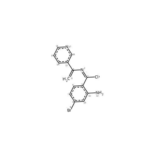 C=C(/N=C(/Cl)c1ccc(Br)cc1N)c1cccnc1